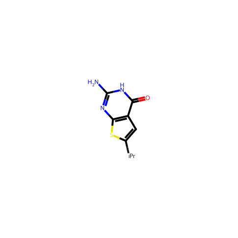 CC(C)c1cc2c(=O)[nH]c(N)nc2s1